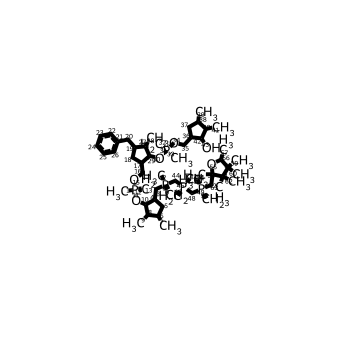 C=P(C)(CC1CC(C)C(C)C1OP(=C)(C)OCC1CC(Cc2ccccc2)C(C)C1OP(=C)(C)OCC1CC(C)C(C)C1O)CP(=C)(C)CP(=C)(C)CC1(C)OC(C)C(C)(C)C1(C)C